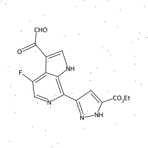 CCOC(=O)c1cc(-c2ncc(F)c3c(C(=O)C=O)c[nH]c23)n[nH]1